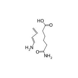 C=CC=CN.NC(=O)CCCCC(=O)O